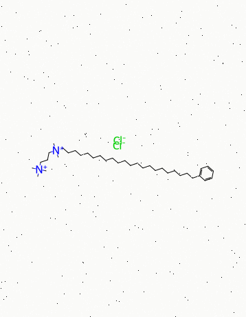 C[N+](C)(C)CCC[N+](C)(C)CCCCCCCCCCCCCCCCCCCCCCc1ccccc1.[Cl-].[Cl-]